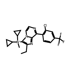 CCc1nc2c(-c3ccc(C(F)(F)F)cc3Cl)nccn2c1[N+](C)(C1CC1)C1CC1